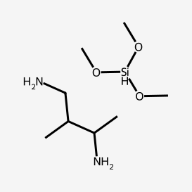 CC(N)C(C)CN.CO[SiH](OC)OC